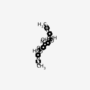 CN1CCN(c2ccc(NS(=O)(=O)c3ccc4c(c3)C(=NO)c3cc(S(=O)(=O)Nc5ccc(N6CCN(C)CC6)cc5)ccc3-4)cc2)CC1